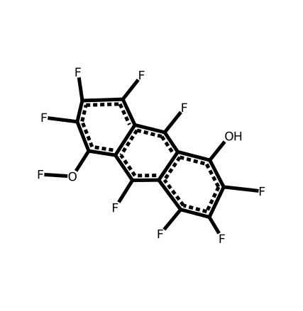 Oc1c(F)c(F)c(F)c2c(F)c3c(OF)c(F)c(F)c(F)c3c(F)c12